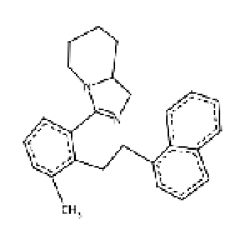 Cc1cccc(C2=NCC3CCCCN23)c1CCc1cccc2ccccc12